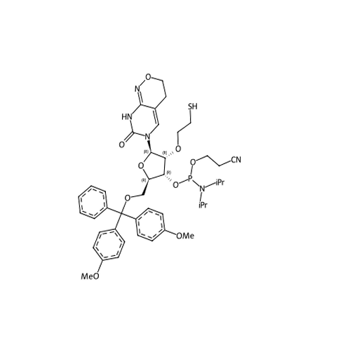 COc1ccc(C(OC[C@H]2O[C@@H](N3C=C4CCON=C4NC3=O)[C@H](OCCS)[C@@H]2OP(OCCC#N)N(C(C)C)C(C)C)(c2ccccc2)c2ccc(OC)cc2)cc1